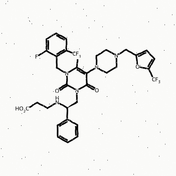 Cc1c(N2CCN(Cc3ccc(C(F)(F)F)o3)CC2)c(=O)n(C[C@H](NCCC(=O)O)c2ccccc2)c(=O)n1Cc1c(F)cccc1C(F)(F)F